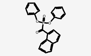 O=C(c1cccc2ccccc12)P(=O)(Oc1ccccc1)Oc1ccccc1